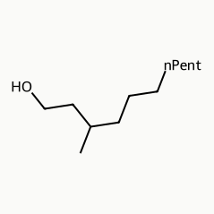 CCCCCCCCC(C)CCO